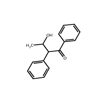 CC(O)C(C(=O)c1ccccc1)c1ccccc1